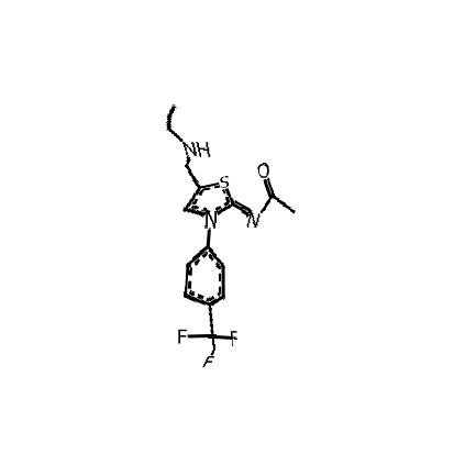 CCNCc1cn(-c2ccc(C(F)(F)F)cc2)c(=NC(C)=O)s1